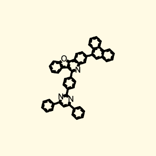 c1ccc(-c2cc(-c3ccccc3)nc(-c3ccc(-c4nc5cc(-c6cc7ccccc7c7ccccc67)ccc5c5oc6ccccc6c45)cc3)n2)cc1